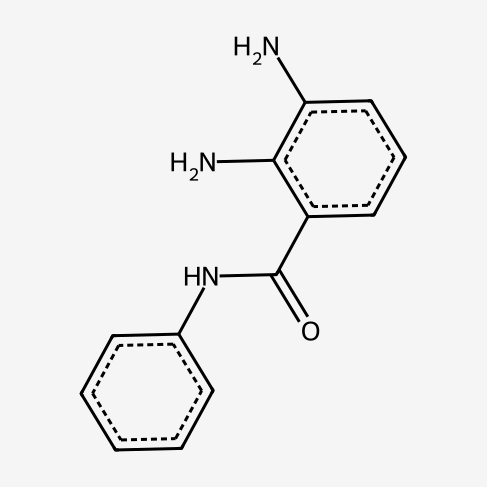 Nc1cccc(C(=O)Nc2ccccc2)c1N